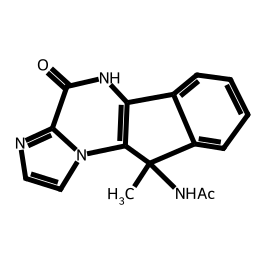 CC(=O)NC1(C)c2ccccc2-c2[nH]c(=O)c3nccn3c21